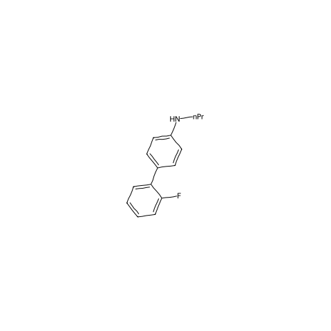 CCCNc1ccc(-c2ccccc2F)cc1